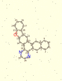 c1ccc2cc3c(cc2c1)c1cc2c(cc1c1nccnc31)oc1ccccc12